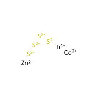 [Cd+2].[S-2].[S-2].[S-2].[S-2].[Ti+4].[Zn+2]